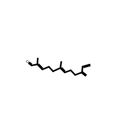 C=CC(=C)CC/C=C(\C)CC/C=C(\C)C=O